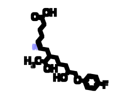 CC(O)C(C/C=C\CCCC(=O)O)CCCC(O)COc1ccc(F)cc1